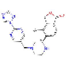 Cc1c([C@@H]2CN(Cc3cnc(-n4cncn4)nc3)CCN2)ccc2c1COC2=O